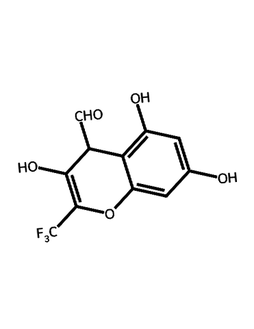 O=CC1C(O)=C(C(F)(F)F)Oc2cc(O)cc(O)c21